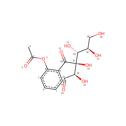 CC(=O)Oc1ccccc1C(=O)[C@](O)([C@H](O)[C@H](O)CO)[C@@H](O)C=O